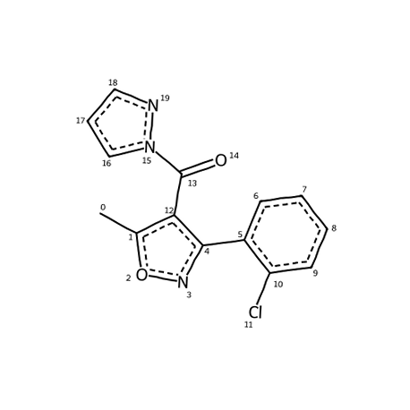 Cc1onc(-c2ccccc2Cl)c1C(=O)n1cccn1